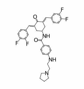 O=C1/C(=C/c2ccc(F)c(F)c2)CC(NC(=O)c2ccc(NCCN3CCCC3)cc2)C/C1=C\c1ccc(F)c(F)c1